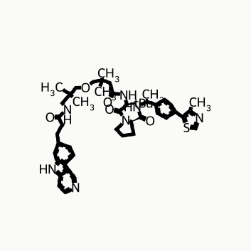 Cc1ncsc1-c1ccc([C@H](C)NC(=O)[C@H]2CCCN2C(=O)[C@@H](NC(=O)CC(C)(C)COCC(C)(C)CNC(=O)CCc2ccc3c(c2)[nH]c2ccncc23)C(C)(C)C)cc1